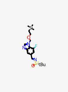 CC(C)(C)[S@+]([O-])/N=C/c1cc(F)c2c(c1)ncn2COCC[Si](C)(C)C